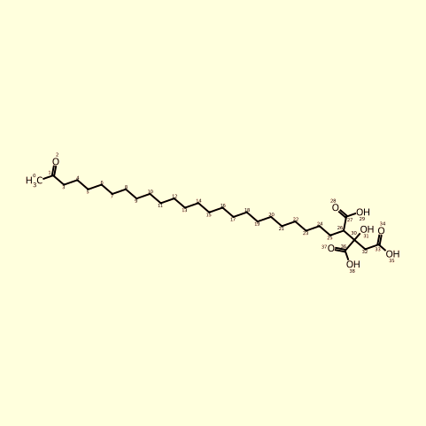 CC(=O)CCCCCCCCCCCCCCCCCCCCCCCC(C(=O)O)C(O)(CC(=O)O)C(=O)O